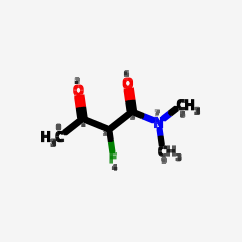 CC(=O)C(F)C(=O)N(C)C